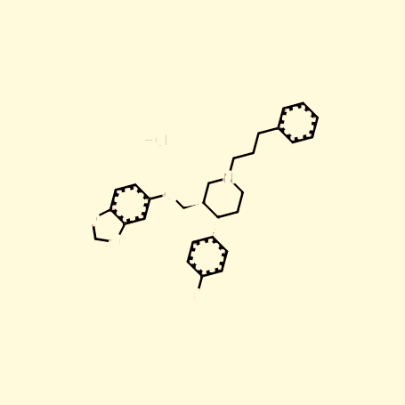 Cl.Fc1ccc([C@H]2CCN(CCCc3ccccc3)C[C@@H]2COc2ccc3c(c2)OCO3)cc1